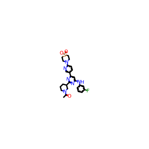 CC(=O)N1CCCC(c2nc(Nc3cccc(F)c3)cc(-c3ccc(N4CCS(=O)(=O)CC4)nc3)n2)C1